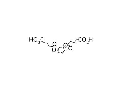 O=C(O)CCCC(=O)Oc1cccc(OC(=O)CCCC(=O)O)c1